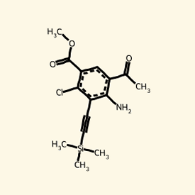 COC(=O)c1cc(C(C)=O)c(N)c(C#C[Si](C)(C)C)c1Cl